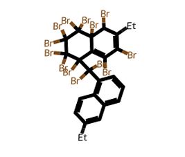 CCC1=C(Br)C(Br)=C2C(Br)(C1Br)C(Br)(Br)C(Br)(Br)C(Br)(Br)C2(Br)C(Br)(Br)c1cccc2cc(CC)ccc12